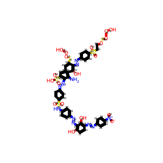 Nc1c(/N=N/c2ccc(S(=O)(=O)Nc3ccc(/N=N/c4c(O)ccc(N=Nc5ccc([N+](=O)[O-])cc5)c4O)cc3)cc2)c(S(=O)(=O)O)cc2cc(SOOO)c(/N=N/c3ccc(S(=O)(=O)CCOSOOO)cc3)c(O)c12